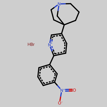 Br.O=[N+]([O-])c1cccc(-c2ccc(C34CCCN(CC3)C4)cn2)c1